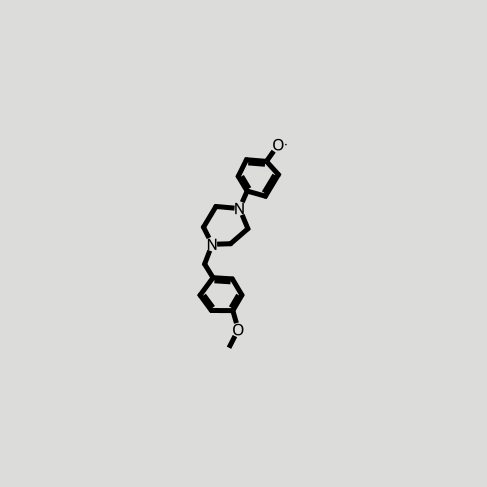 COc1ccc(CN2CCN(c3ccc([O])cc3)CC2)cc1